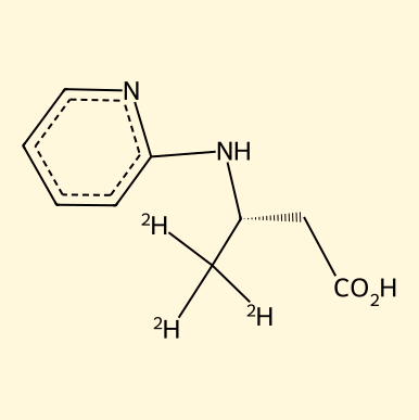 [2H]C([2H])([2H])[C@@H](CC(=O)O)Nc1ccccn1